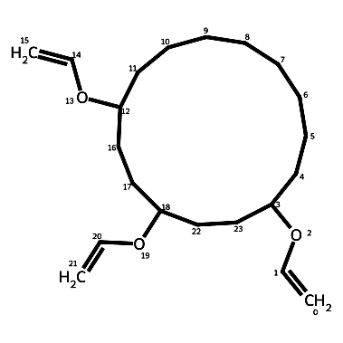 C=COC1CCCCCCCCC(OC=C)CCC(OC=C)CC1